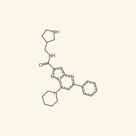 O=C(NCC1CCNC1)c1cc2nc(-c3ccccc3)cc(N3CCCCC3)n2n1